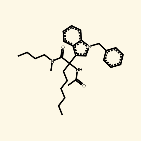 CCCCCCC(NC(C)=O)(C(=O)N(C)CCCC)c1cn(Cc2ccccc2)c2ccccc12